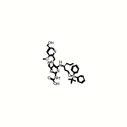 CCC[C@@H](CCO[Si](c1ccccc1)(c1ccccc1)C(C)(C)C)Nc1nc(NC(=O)O)nc2cnn(Cc3ncc(CO)cc3OC)c12